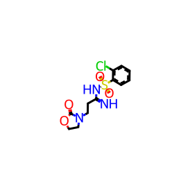 N=C(CCN1CCOC1=O)NS(=O)(=O)c1ccccc1Cl